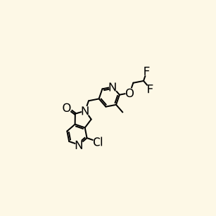 Cc1cc(CN2Cc3c(ccnc3Cl)C2=O)cnc1OCC(F)F